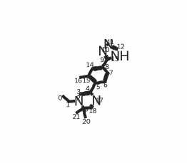 CCN1C=C(c2ccc(-c3nnc[nH]3)cc2C)N=CC1(C)C